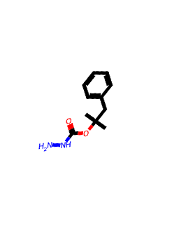 CC(C)(Cc1ccccc1)OC(=O)NN